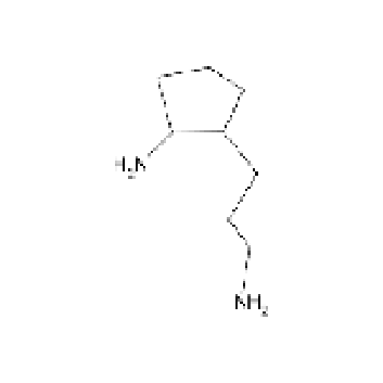 NCCCC1CCCC1N